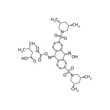 CC(C)[C@H](NC(=O)ON=C1c2ccc(S(=O)(=O)N3C[C@H](C)C[C@H](C)C3)cc2C(=NO)c2cc(S(=O)(=O)N3C[C@H](C)C[C@H](C)C3)ccc21)C(=O)O